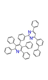 c1ccc(-c2cccc(-c3cc(-c4ccccc4)nc(-c4cccc(-c5c(-c6ccccc6)c(-c6ccccc6)nc(-c6ccccc6)c5-c5ccccc5)c4)n3)c2)cc1